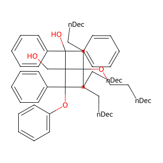 CCCCCCCCCCCCOC(CCCCCCCCCCCC)(CCCCCCCCCCCC)C(CO)(C(CCCCCCCCCCCC)(Oc1ccccc1)c1ccccc1)C(O)(c1ccccc1)c1ccccc1